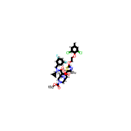 Cc1cc(Cl)c(OCCOc2ncc(C3=C(C(=O)N(Cc4cc(F)cc(F)c4)C4CC4)[C@H]4CN(C(=O)OC(C)(C)C)CC(C3)N4C(=O)OC(C)(C)C)s2)c(Cl)c1